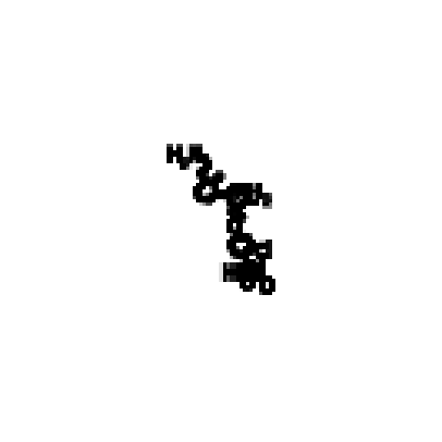 C=C(S/C(COc1ccc(-c2nc(=O)o[nH]2)c(Cl)c1)=C(/C)N)c1ccc/c(=C/C=C\N)c1=C